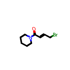 O=C(/C=C/CBr)N1CCCCC1